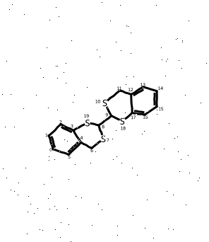 c1ccc2c(c1)CSC(C1SCc3ccccc3S1)S2